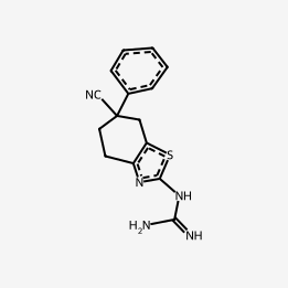 N#CC1(c2ccccc2)CCc2nc(NC(=N)N)sc2C1